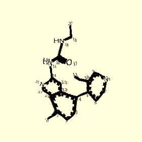 [CH2]c1ccc(-c2ccncc2C)c2cc(NC(=O)NCC)ncc12